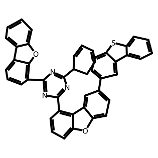 C1=CCC(c2nc(-c3cccc4c3oc3ccccc34)nc(-c3cccc4oc5ccc(-c6ccc7sc8ccccc8c7c6)cc5c34)n2)C=C1